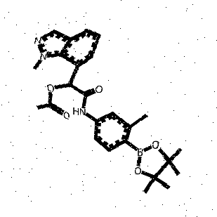 CC(=O)OC(C(=O)Nc1ccc(B2OC(C)(C)C(C)(C)O2)c(C)c1)c1cccc2cnn(C)c12